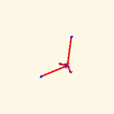 [N-]=[N+]=NCCOCCCC(=O)NCC(CNC(=O)CCCOCCN=[N+]=[N-])(CNC(=O)CCOCCOCCOCCOCCOCCOCCOCCOCCOCCOCCOCCOCCN=[N+]=[N-])CNC(=O)CCOCCOCCOCCOCCOCCOCCOCCOCCOCCOCCOCCOCCN=[N+]=[N-]